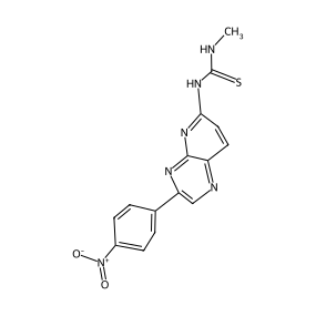 CNC(=S)Nc1ccc2ncc(-c3ccc([N+](=O)[O-])cc3)nc2n1